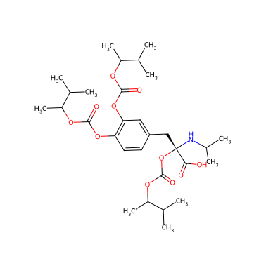 CC(C)N[C@@](Cc1ccc(OC(=O)OC(C)C(C)C)c(OC(=O)OC(C)C(C)C)c1)(OC(=O)OC(C)C(C)C)C(=O)O